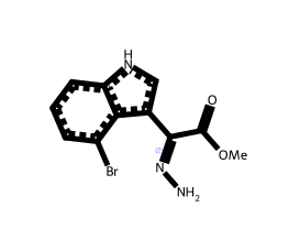 COC(=O)/C(=N\N)c1c[nH]c2cccc(Br)c12